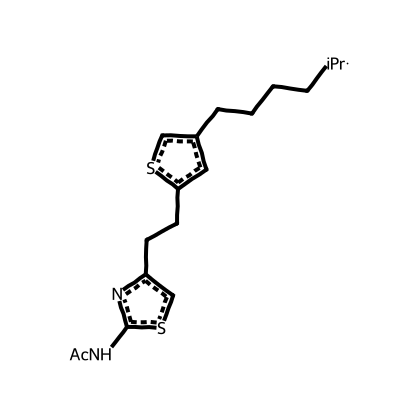 C[C](C)CCCCc1csc(CCc2csc(NC(C)=O)n2)c1